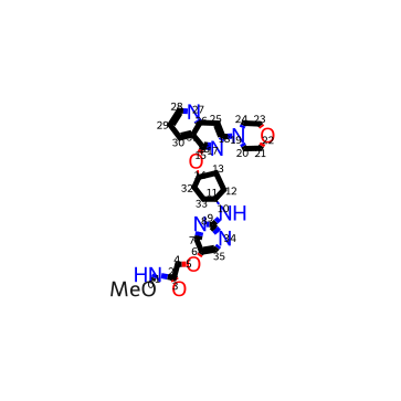 CONC(=O)COc1cnc(N[C@H]2CC[C@@H](Oc3nc(N4CCOCC4)cc4ncccc34)CC2)nc1